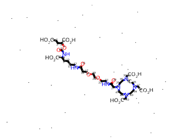 O=C(O)CC[C@H](OC(=O)N[C@@H](CCCCNC(=O)CCOCCOCCNC(=O)CN1CCN(CC(=O)O)CCN(CC(=O)O)CCN(CC(=O)O)CC1)C(=O)O)C(=O)O